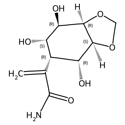 C=C(C(N)=O)[C@@H]1[C@H](O)[C@@H](O)[C@H]2OCO[C@H]2[C@@H]1O